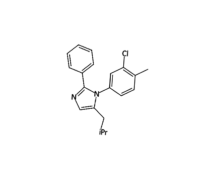 Cc1ccc(-n2c(CC(C)C)cnc2-c2ccccc2)cc1Cl